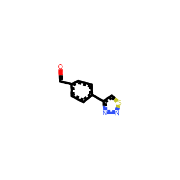 O=Cc1ccc(-c2csnn2)cc1